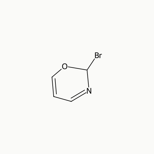 BrC1N=CC=CO1